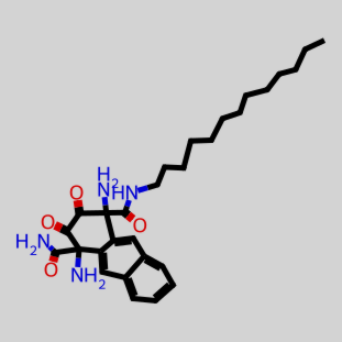 CCCCCCCCCCCCCNC(=O)C1(N)C(=O)C(=O)C(N)(C(N)=O)c2cc3ccccc3cc21